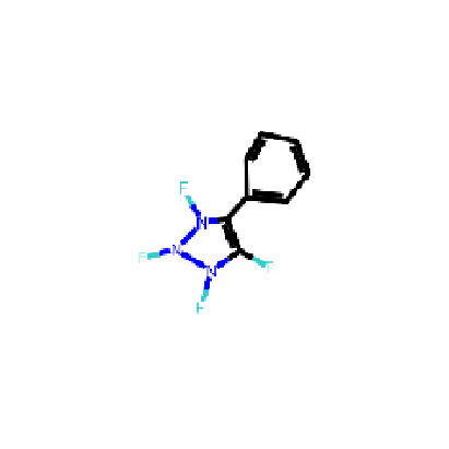 FC1=C(c2ccccc2)N(F)N(F)N1F